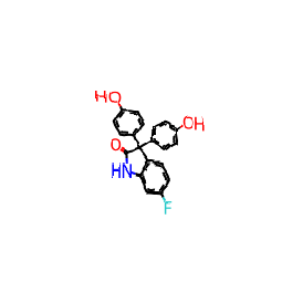 O=C1Nc2cc(F)ccc2C1(c1ccc(O)cc1)c1ccc(O)cc1